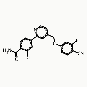 N#Cc1ccc(OCc2ccnc(-c3ccc(C(N)=O)c(Cl)c3)c2)cc1F